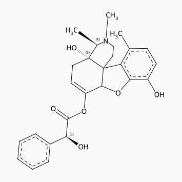 Cc1ccc(O)c2c1C13CCN(C)[C@H](C)[C@]1(O)CC=C(OC(=O)[C@@H](O)c1ccccc1)C3O2